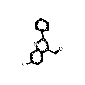 O=Cc1cc(-c2ccccc2)nc2cc(Cl)ccc12